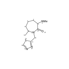 CNC1CCCC(C)N(Cc2nncs2)C1=O